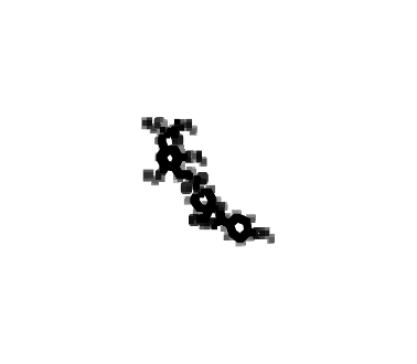 Cc1cc(CN(C)C(N)=O)cc(C)c1/C=C/S(=O)(=O)N1CCC2(CC1)N=C(C1CCC(C)CC1)NC2=O